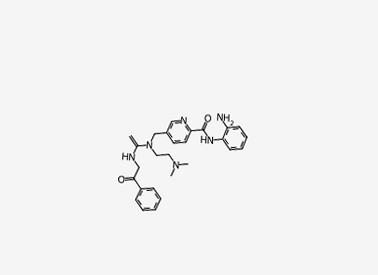 C=C(NCC(=O)c1ccccc1)N(CCN(C)C)Cc1ccc(C(=O)Nc2ccccc2N)nc1